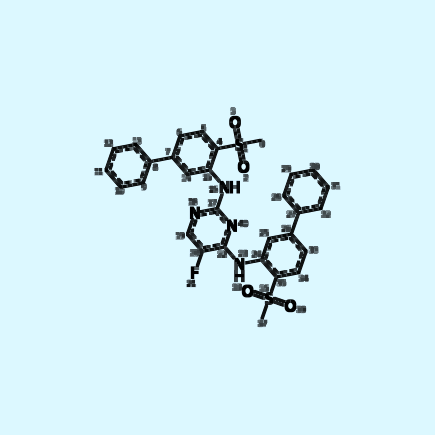 CS(=O)(=O)c1ccc(-c2ccccc2)cc1Nc1ncc(F)c(Nc2cc(-c3ccccc3)ccc2S(C)(=O)=O)n1